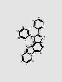 c1ccc(-c2nc3ccc4c(nc5ccccn54)c3n2-c2ccccc2)cc1